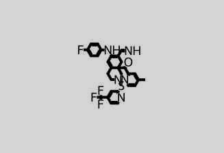 Cc1ccnc(C(=O)C23CC(C=N)=C(Nc4ccc(F)cc4)C=C2CCN(Sc2cc(C(F)(F)F)ccn2)C3)c1